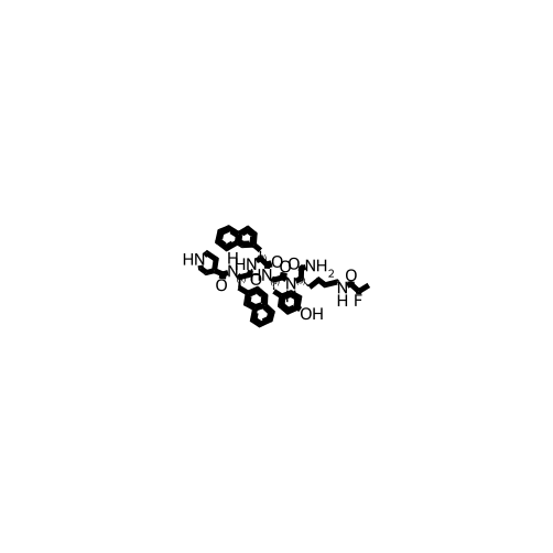 CC(F)C(=O)NCCCC[C@H](NC(=O)[C@H](Cc1ccc(O)cc1)NC(=O)[C@@H](Cc1ccc2ccccc2c1)NC(=O)[C@@H](Cc1ccc2ccccc2c1)NC(=O)C1CCNCC1)C(N)=O